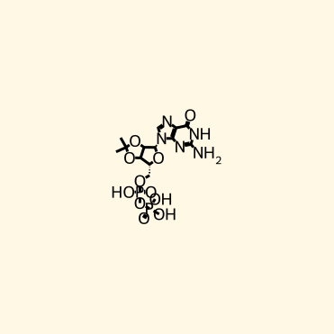 CC1(C)OC2C(O1)[C@@H](COP(=O)(O)OP(=O)(O)O)O[C@H]2n1cnc2c(=O)[nH]c(N)nc21